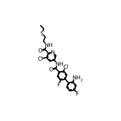 CCSCCNC(=O)c1ncc(NC(=O)c2cc(F)c(-c3ccc(F)cc3N)cc2Cl)cc1Cl